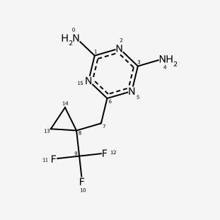 Nc1nc(N)nc(CC2(C(F)(F)F)CC2)n1